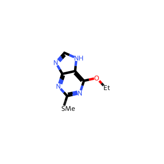 CCOc1nc(SC)nc2nc[nH]c12